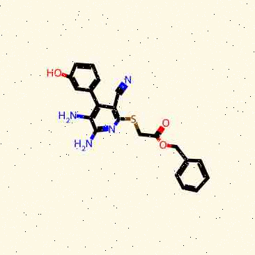 N#Cc1c(SCC(=O)OCc2ccccc2)nc(N)c(N)c1-c1cccc(O)c1